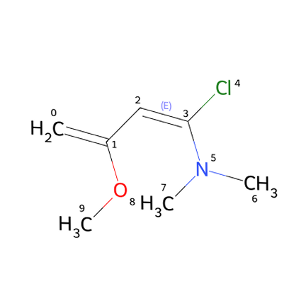 C=C(/C=C(/Cl)N(C)C)OC